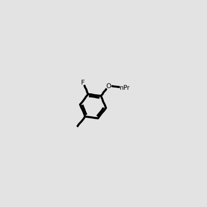 CCCOc1ccc(C)cc1F